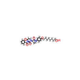 O=C1C(n2ccc(=O)n(C(=O)c3ccccc3)c2=O)CCN1c1ccc(OCCCCCCCCO)cc1